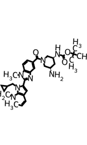 C=Nc1c(/C=C\C)cc(-c2nc3cc(C(=O)N4C[C@@H](N)C[C@@H](NC(=O)OC(C)(C)C)C4)ccc3n2C)n1CC1CC1